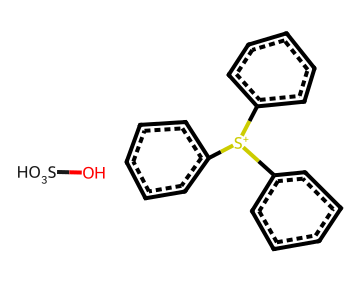 O=S(=O)(O)O.c1ccc([S+](c2ccccc2)c2ccccc2)cc1